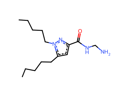 CCCCCc1cc(C(=O)NCN)nn1CCCCC